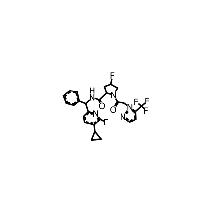 O=C(NC(c1ccccc1)c1ccc(C2CC2)c(F)n1)C1CC(F)CN1C(=O)Cn1nccc1C(F)(F)F